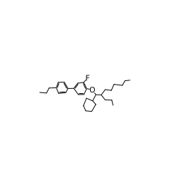 CCCCCCC(CCC)C(Oc1ccc(-c2ccc(CCC)cc2)cc1F)C1CCCCC1